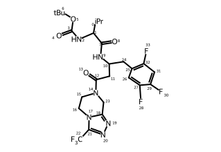 CC(C)C(NC(=O)OC(C)(C)C)C(=O)NC(CC(=O)N1CCn2c(nnc2C(F)(F)F)C1)Cc1cc(F)c(F)cc1F